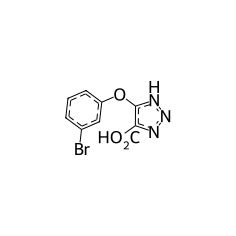 O=C(O)c1nn[nH]c1Oc1cccc(Br)c1